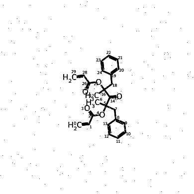 C=CC(=O)OC(C)(Cc1ccccc1)C(=O)C(C)(Cc1ccccc1)OC(=O)C=C